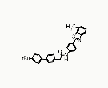 Cc1cccc2nc(-c3ccc(NC(=O)Cc4ccc(-c5ccc(C(C)(C)C)cc5)cc4)cc3)oc12